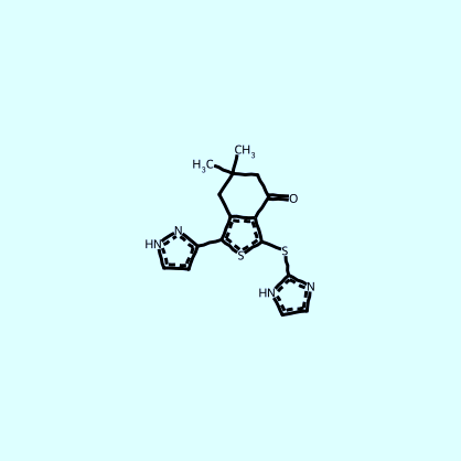 CC1(C)CC(=O)c2c(Sc3ncc[nH]3)sc(-c3cc[nH]n3)c2C1